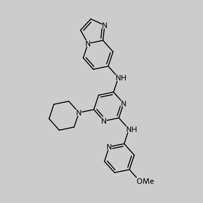 COc1ccnc(Nc2nc(Nc3ccn4ccnc4c3)cc(N3CCCCC3)n2)c1